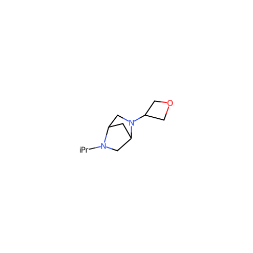 CC(C)N1CC2CC1CN2C1COC1